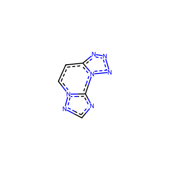 c1nc2n(ccc3nnnn32)n1